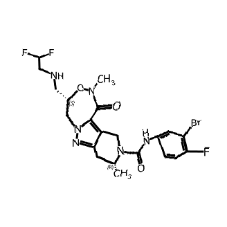 C[C@@H]1Cc2nn3c(c2CN1C(=O)Nc1ccc(F)c(Br)c1)C(=O)N(C)O[C@@H](CNCC(F)F)C3